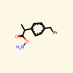 CC(C)Cc1ccc(C(C)C(=O)ON)cc1